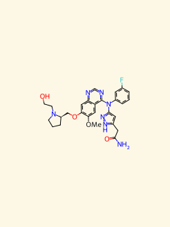 COc1cc2c(N(c3cccc(F)c3)c3cc(CC(N)=O)[nH]n3)ncnc2cc1OC[C@H]1CCCN1CCO